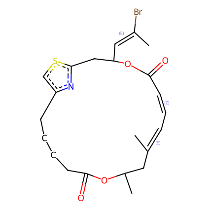 C/C(Br)=C\C1Cc2nc(cs2)CCCCC(=O)OC(C)C/C(C)=C/C=C\C(=O)O1